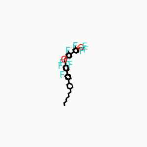 CCCCCCCC1CCC(c2ccc(-c3cc(F)c(C(F)(F)Oc4ccc(-c5ccc(OC(F)(F)F)c(F)c5)c(F)c4)c(F)c3)c(F)c2)CC1